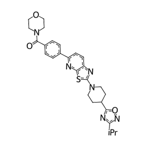 CC(C)c1noc(C2CCN(c3nc4ccc(-c5ccc(C(=O)N6CCOCC6)cc5)nc4s3)CC2)n1